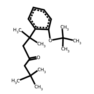 CC(C)(C)CC(=O)CC(C)(C)c1ccccc1OC(C)(C)C